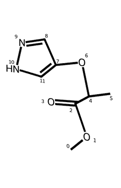 COC(=O)C(C)Oc1cn[nH]c1